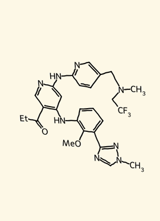 CCC(=O)c1cnc(Nc2ccc(CN(C)CC(F)(F)F)cn2)cc1Nc1cccc(-c2ncn(C)n2)c1OC